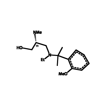 CCN(C[C@H](CO)NC)C(C)(C)c1ccccc1OC